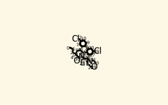 C=CC[C@@]1(C)C[C@H](c2cccc(Cl)c2)[C@@H](c2ccc(Cl)cc2)N(C(CC)CN2CCOCC2)C1=O